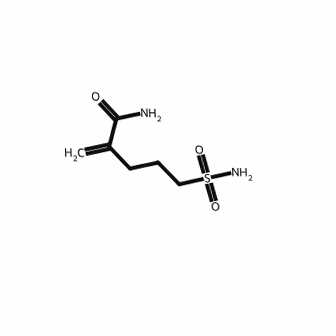 C=C(CCCS(N)(=O)=O)C(N)=O